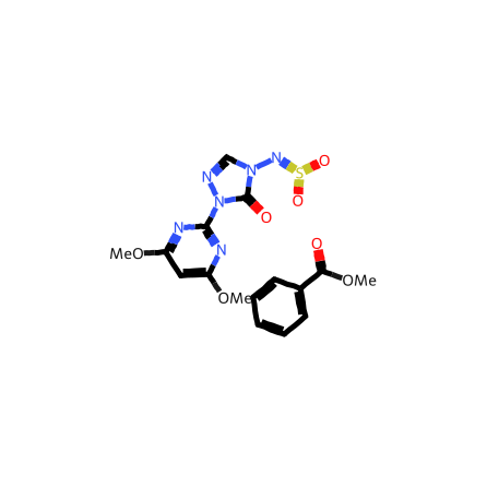 COC(=O)c1ccccc1.COc1cc(OC)nc(-n2ncn(N=S(=O)=O)c2=O)n1